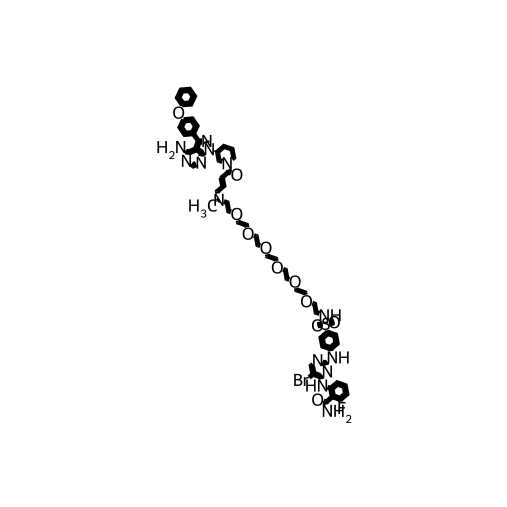 CN(C/C=C/C(=O)N1CCC[C@@H](n2nc(-c3ccc(Oc4ccccc4)cc3)c3c(N)ncnc32)C1)CCOCCOCCOCCOCCOCCOCCNS(=O)(=O)c1ccc(Nc2ncc(Br)c(Nc3cccc(F)c3C(N)=O)n2)cc1